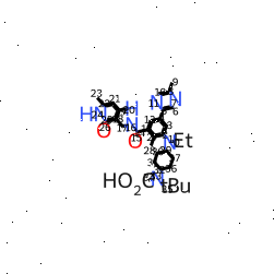 CCN(c1cc(-c2cnc(C)cn2)cc(C(=O)NCc2c(C)cc(C)[nH]c2=O)c1C)[C@H]1CC[C@H](N(C(=O)O)C(C)(C)C)CC1